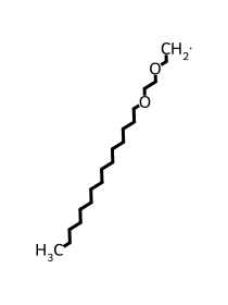 [CH2]COCCOCCCCCCCCCCCCCCC